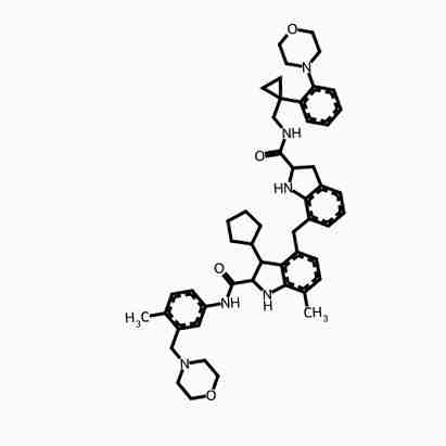 Cc1ccc(NC(=O)C2Nc3c(C)ccc(Cc4cccc5c4NC(C(=O)NCC4(c6ccccc6N6CCOCC6)CC4)C5)c3C2C2CCCC2)cc1CN1CCOCC1